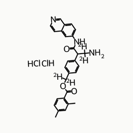 Cl.Cl.[2H]C([2H])(OC(=O)c1ccc(C)cc1C)c1ccc(C(C(=O)Nc2ccc3cnccc3c2)C([2H])([2H])N)cc1